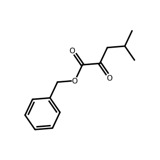 CC(C)CC(=O)C(=O)OCc1ccccc1